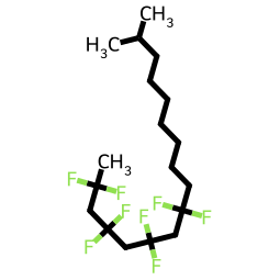 CC(C)CCCCCCCC(F)(F)CC(F)(F)CC(F)(F)CC(C)(F)F